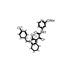 COc1cc(NC(=O)C(=O)c2c3c(n(CC4C=CC(Cl)=CC4)c2C)CCCC3)ccn1